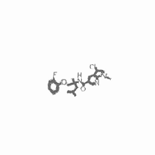 C=C(C)CC(C)(COc1ccccc1F)NC(=O)c1cnc2c(c1)c(Cl)cn2C